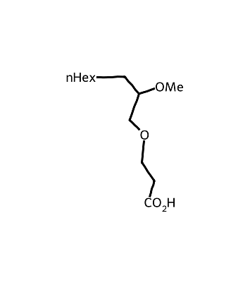 CCCCCCCC(COCCC(=O)O)OC